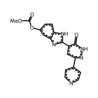 COC(=O)Oc1ccc2[nH]c(-c3cc(-c4ccncc4)n[nH]c3=O)nc2c1